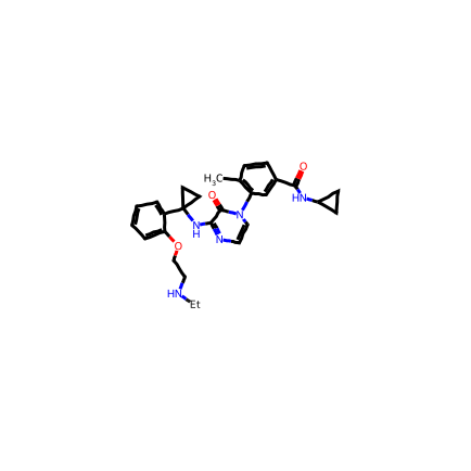 CCNCCOc1ccccc1C1(Nc2nccn(-c3cc(C(=O)NC4CC4)ccc3C)c2=O)CC1